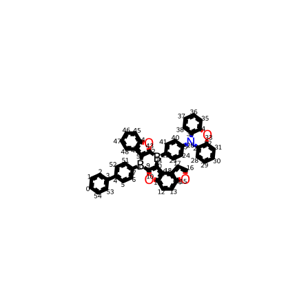 c1ccc(-c2ccc(B3c4oc5ccc6occc6c5c4B(c4ccc(N5c6ccccc6Oc6ccccc65)cc4)c4oc5ccccc5c43)cc2)cc1